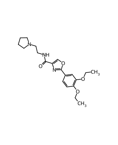 CCOc1ccc(-c2nc(C(=O)NCCN3CCCC3)co2)cc1OCC